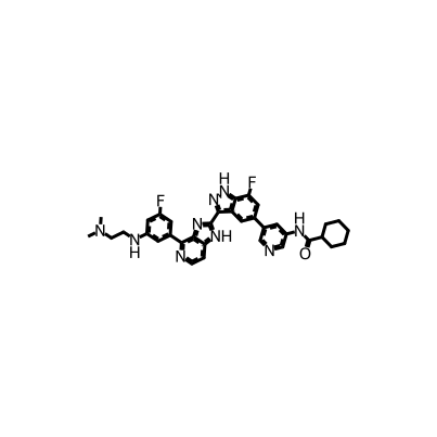 CN(C)CCNc1cc(F)cc(-c2nccc3[nH]c(-c4n[nH]c5c(F)cc(-c6cncc(NC(=O)C7CCCCC7)c6)cc45)nc23)c1